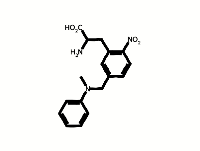 CN(Cc1ccc([N+](=O)[O-])c(CC(N)C(=O)O)c1)c1ccccc1